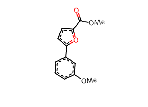 COC(=O)c1ccc(-c2cccc(OC)c2)o1